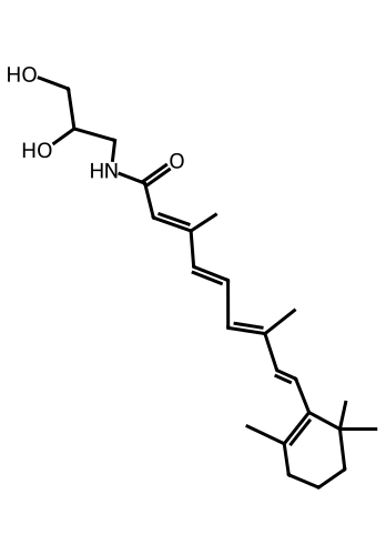 CC1=C(/C=C/C(C)=C/C=C/C(C)=C/C(=O)NCC(O)CO)C(C)(C)CCC1